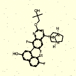 CCc1c(F)ccc2cc(O)cc(-c3c(F)cc4c(N5C[C@H]6CC[C@@H](C5)N6)nc(OCC(C)(C)O)nc4c3F)c12